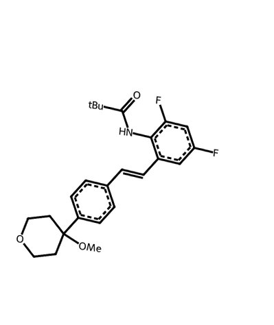 COC1(c2ccc(C=Cc3cc(F)cc(F)c3NC(=O)C(C)(C)C)cc2)CCOCC1